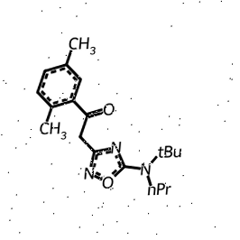 CCCN(c1nc(CC(=O)c2cc(C)ccc2C)no1)C(C)(C)C